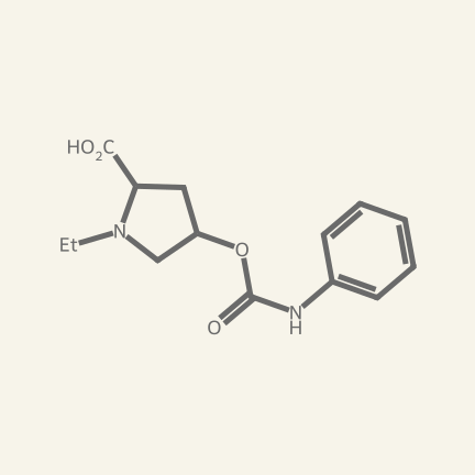 CCN1CC(OC(=O)Nc2ccccc2)CC1C(=O)O